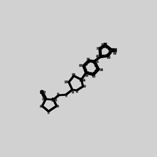 O=C1CCCN1CCC1CCN(c2ccc(-c3cn[nH]c3)cc2)CC1